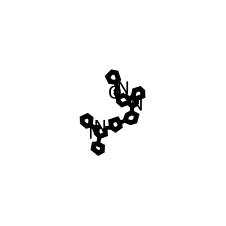 c1ccc(-c2cc(-c3ccc(-c4cccc(-c5nc6ccccc6c6c5ccc5oc(-c7ccccc7)nc56)c4)cc3)nc(-c3ccccc3)n2)cc1